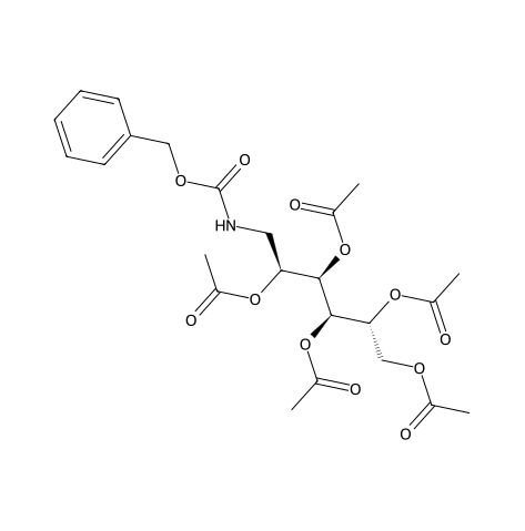 CC(=O)OC[C@@H](OC(C)=O)[C@@H](OC(C)=O)[C@H](OC(C)=O)[C@H](CNC(=O)OCc1ccccc1)OC(C)=O